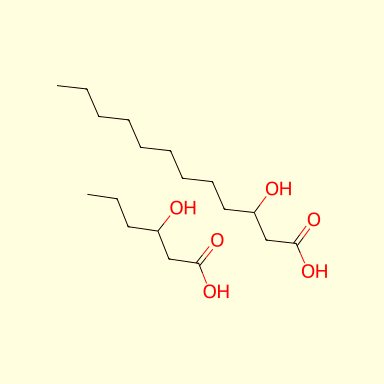 CCCC(O)CC(=O)O.CCCCCCCCCC(O)CC(=O)O